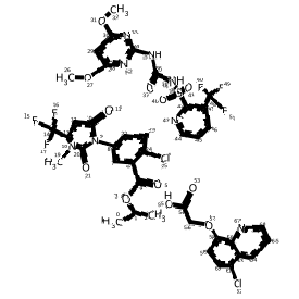 CC(C)OC(=O)c1cc(-n2c(=O)cc(C(F)(F)F)n(C)c2=O)ccc1Cl.COc1cc(OC)nc(NC(=O)NS(=O)(=O)c2ncccc2C(F)(F)F)n1.O=C(O)COc1ccc(Cl)c2cccnc12